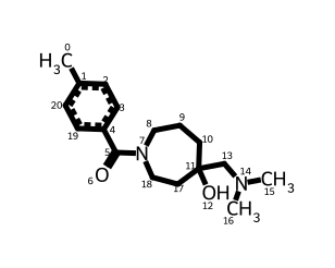 Cc1ccc(C(=O)N2CCCC(O)(CN(C)C)CC2)cc1